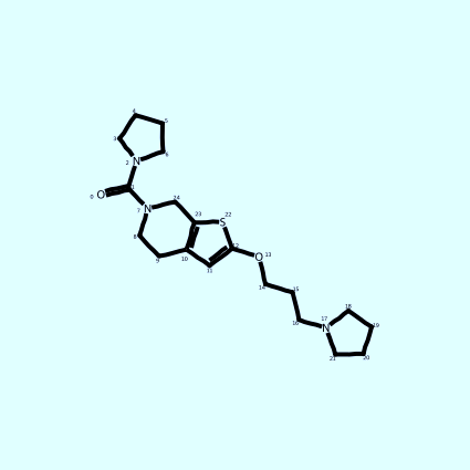 O=C(N1CCCC1)N1CCc2cc(OCCCN3CCCC3)sc2C1